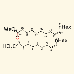 CCCCCC/C=C\CCCCCCCC(=O)O.CCCCCC/C=C\CCCCCCCC(=O)OC